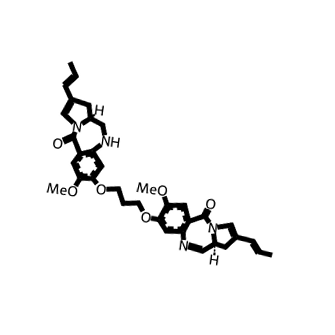 C/C=C/C1=CN2C(=O)c3cc(OC)c(OCCCOc4cc5c(cc4OC)C(=O)N4C=C(/C=C/C)C[C@H]4C=N5)cc3NC[C@@H]2C1